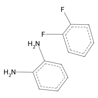 Fc1ccccc1F.Nc1ccccc1N